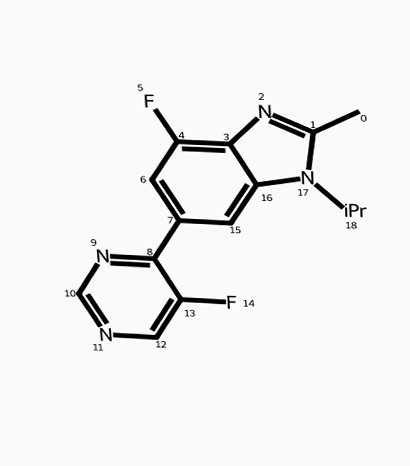 Cc1nc2c(F)cc(-c3ncncc3F)cc2n1C(C)C